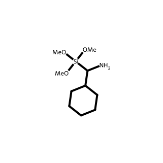 CO[Si](OC)(OC)C(N)C1CCCCC1